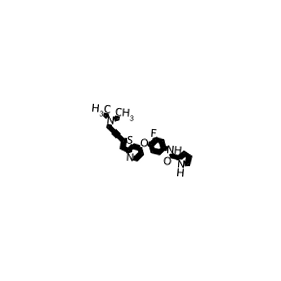 CCN(CC)CC#Cc1cc2nccc(Oc3ccc(NC(=O)c4ccc[nH]4)cc3F)c2s1